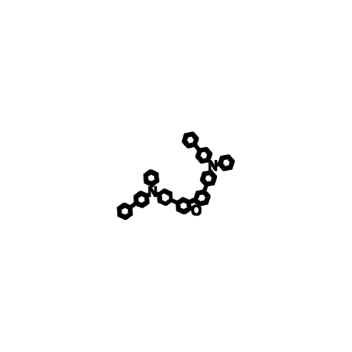 C1=CC(c2ccc3oc4ccc(-c5ccc(N(c6ccccc6)c6ccc(-c7ccccc7)cc6)cc5)cc4c3c2)CC=C1N(c1ccccc1)c1ccc(-c2ccccc2)cc1